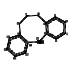 c1ccc2c(c1)CCCc1ccccc1N2